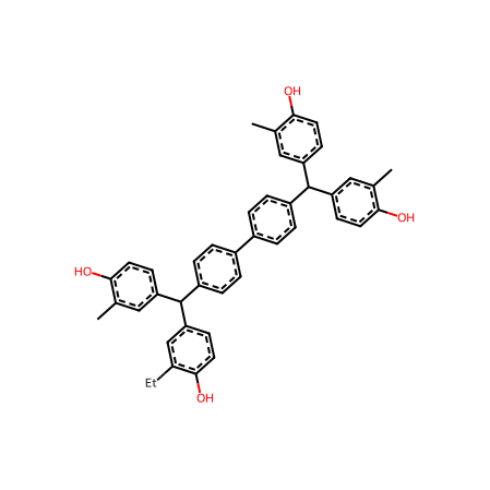 CCc1cc(C(c2ccc(-c3ccc(C(c4ccc(O)c(C)c4)c4ccc(O)c(C)c4)cc3)cc2)c2ccc(O)c(C)c2)ccc1O